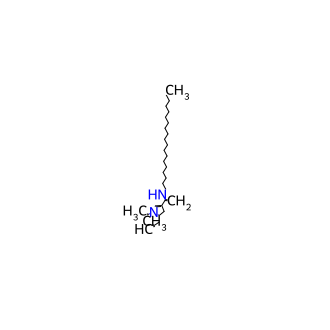 C#CC[C@H]1CC(C(=C)NCCCCCCCCCCCCCCCCCCC)=CN1C(C)C